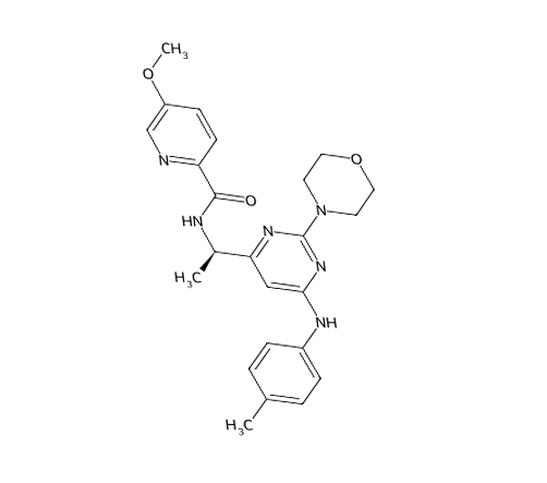 COc1ccc(C(=O)N[C@H](C)c2cc(Nc3ccc(C)cc3)nc(N3CCOCC3)n2)nc1